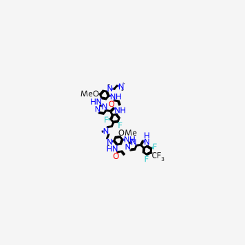 C=CC(=O)Nc1cc(Nc2nccc(-c3c[nH]c4cc(F)c(CCN(C)CCN(C)c5cc(OC)c(Nc6nccc(-c7c[nH]c8c(F)c(C(F)(F)F)c(F)cc78)n6)cc5NC(=O)C=C)c(F)c34)n2)c(OC)cc1N(C)CCN(C)C